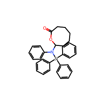 O=C1CCCCCC(N(c2ccccc2)[Si](c2ccccc2)(c2ccccc2)c2ccccc2)O1